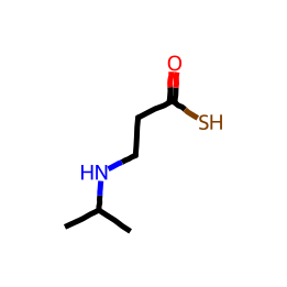 CC(C)NCCC(=O)S